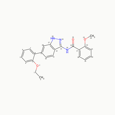 CCOc1ccccc1-c1ccc2c(NC(=O)c3ccccc3OC)n[nH]c2c1